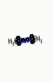 CC1(C)c2ccccc2N(c2ccc(-c3ccc(N4c5ccccc5C(C)(C)c5ccccc54)cn3)nc2)c2ccccc21